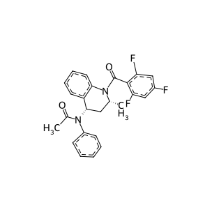 CC(=O)N(c1ccccc1)[C@H]1C[C@@H](C)N(C(=O)c2c(F)cc(F)cc2F)c2ccccc21